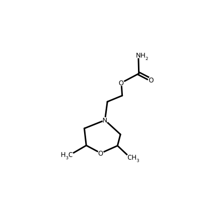 CC1CN(CCOC(N)=O)CC(C)O1